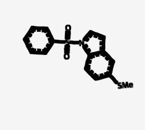 CSc1ccc2c(ccn2S(=O)(=O)c2ccccc2)c1